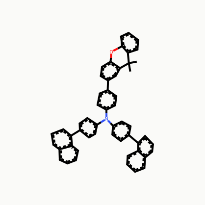 CC1(C)c2ccccc2Oc2ccc(-c3ccc(N(c4ccc(-c5cccc6ccccc56)cc4)c4ccc(-c5cccc6ccccc56)cc4)cc3)cc21